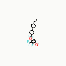 CCCC1CCC(C2CCC(C(F)(F)Oc3ccc(OC)c(F)c3C(F)F)CC2)CC1